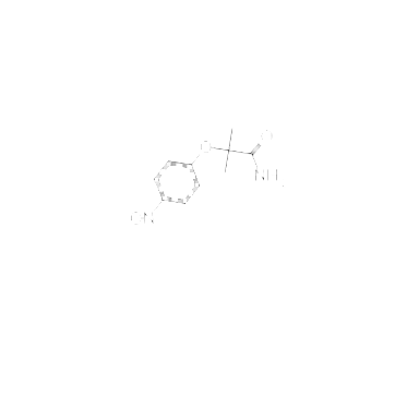 CC(C)(Oc1ccc(N=O)cc1)C(N)=O